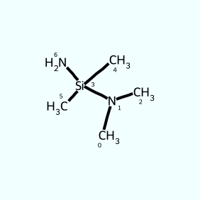 CN(C)[Si](C)(C)N